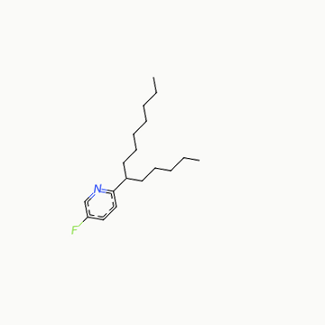 CCCCCCCC(CCCCC)c1ccc(F)cn1